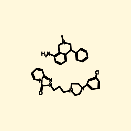 CN1Cc2c(N)cccc2C(c2ccccc2)C1.O=c1n(CCCN2CCN(c3cccc(Cl)c3)CC2)nc2ccccn12